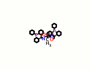 CC(C)(C1=N[C@@H](c2ccccc2P(c2ccccc2)c2ccccc2)CO1)C1=N[C@@H](c2ccccc2P(c2ccccc2)c2ccccc2)CO1